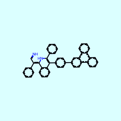 N=C/C(=C1\NC(c2ccccc2)=C(c2ccc(-c3ccc4c5ccccc5c5ccccc5c4c3)cc2)c2ccccc21)c1ccccc1